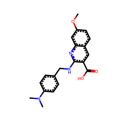 COc1ccc2cc(C(=O)O)c(NCc3ccc(N(C)C)cc3)nc2c1